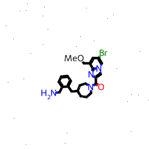 COCc1cc(Br)cn2cc(C(=O)N3CCCC(Cc4ccccc4CN)CC3)nc12